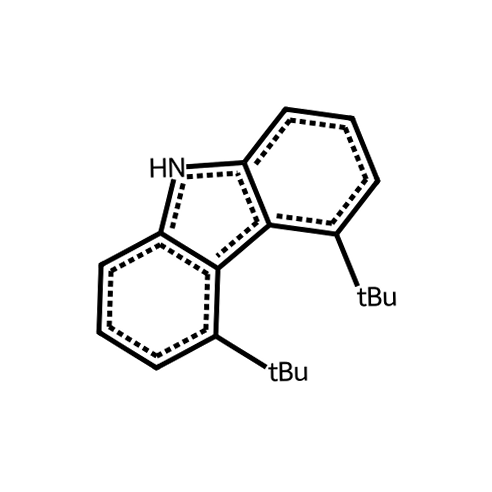 CC(C)(C)c1cccc2[nH]c3cccc(C(C)(C)C)c3c12